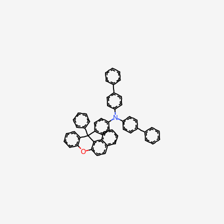 c1ccc(-c2ccc(N(c3ccc(-c4ccccc4)cc3)c3ccc(C4(c5ccccc5)c5ccccc5Oc5ccc6ccccc6c54)cc3)cc2)cc1